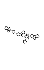 c1ccc(-c2nc(-c3ccc4c(c3)oc3ccccc34)nc(-c3cccc4c3sc3ccc(-c5ccc(-c6nc7ccccc7o6)cc5)cc34)n2)cc1